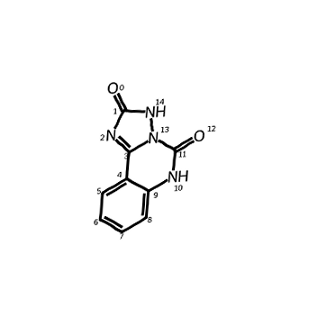 O=c1nc2c3ccccc3[nH]c(=O)n2[nH]1